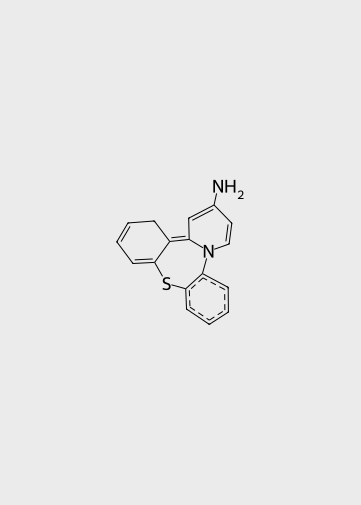 NC1=CC2=C3CC=CC=C3Sc3ccccc3N2C=C1